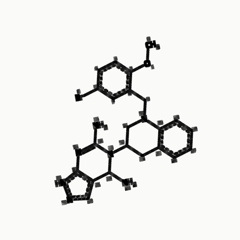 COc1ccc(Br)cc1CN1CC(N2C(N)=Nc3[nH]ncc3C2N)Cc2ccccc21